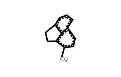 O=C(O)c1ccc2cccc3c2c1CC3